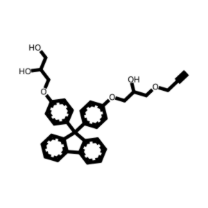 C#CCOCC(O)COc1ccc(C2(c3ccc(OCC(O)CO)cc3)c3ccccc3-c3ccccc32)cc1